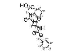 O=C(O)CN(C(=O)N1C[C@H](NC(=O)OCc2ccccc2)C1=O)c1ccccc1